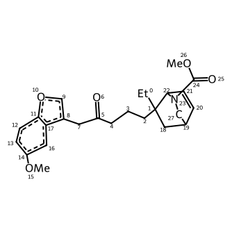 CCC1(CCCC(=O)Cc2coc3ccc(OC)cc23)CC2C=CC1N(C(=O)OC)C2